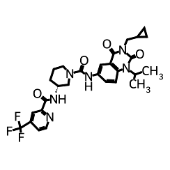 CC(C)n1c(=O)n(CC2CC2)c(=O)c2cc(NC(=O)N3CCC[C@@H](NC(=O)c4cc(C(F)(F)F)ccn4)C3)ccc21